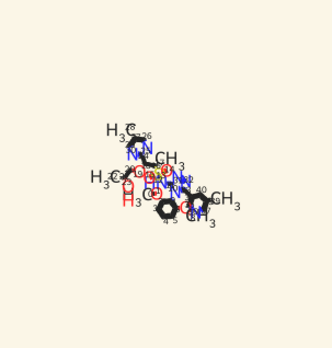 COc1cccc(OC)c1-n1c(NS(=O)(=O)[C@@H](C)[C@H](OC[C@@H](C)O)c2ncc(C)cn2)nnc1-c1cncc(C)c1